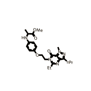 CCCc1nn(C)c2c(=O)n(CCOc3ccc(NC(C)C(=O)OC)cc3)c(CC)nc12